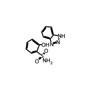 NS(=O)(=O)c1ccccc1O.c1ccc2[nH]nnc2c1